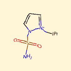 CC(C)[n+]1cccn1S(N)(=O)=O